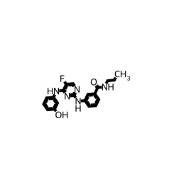 CCCNC(=O)c1cccc(Nc2ncc(F)c(Nc3cccc(O)c3)n2)c1